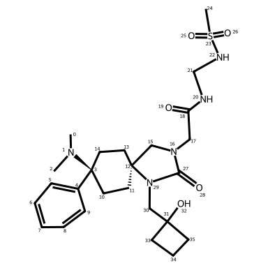 CN(C)[C@]1(c2ccccc2)CC[C@]2(CC1)CN(CC(=O)NCNS(C)(=O)=O)C(=O)N2CC1(O)CCC1